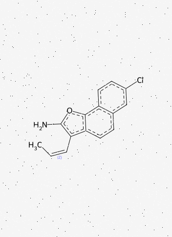 C/C=C\c1c(N)oc2c1ccc1cc(Cl)ccc12